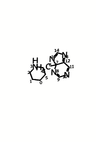 C1CCNCC1.CC12N=CN=CC1=NC=N2